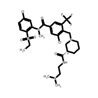 CCS(=O)(=O)c1ccc(Cl)cc1N(C)C(=O)c1cc(Cl)c(CN2CCC[C@H](C(=O)NCCN(C)C)C2)c(C(F)(F)F)c1